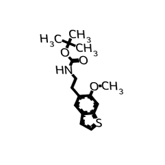 COc1cc2sccc2cc1CCNC(=O)OC(C)(C)C